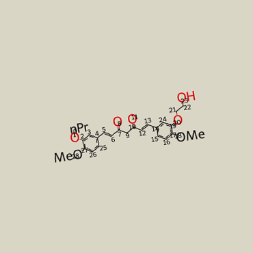 CCCOc1cc(/C=C/C(=O)CC(=O)/C=C/c2ccc(OC)c(OCCO)c2)ccc1OC